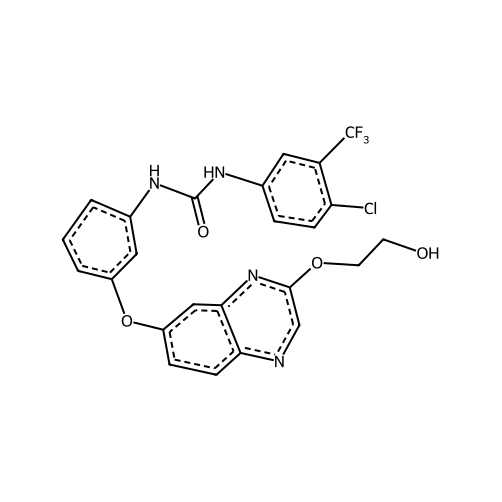 O=C(Nc1cccc(Oc2ccc3ncc(OCCO)nc3c2)c1)Nc1ccc(Cl)c(C(F)(F)F)c1